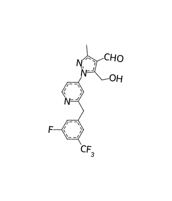 Cc1nn(-c2ccnc(Cc3cc(F)cc(C(F)(F)F)c3)c2)c(CO)c1C=O